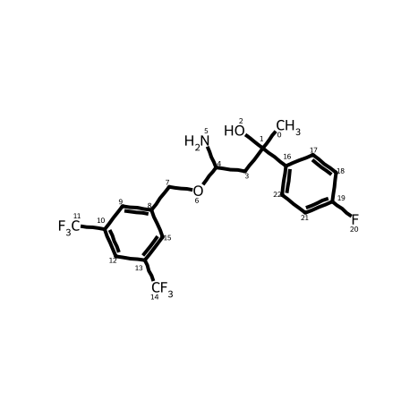 CC(O)(CC(N)OCc1cc(C(F)(F)F)cc(C(F)(F)F)c1)c1ccc(F)cc1